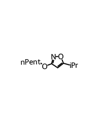 CCCCCOc1cc(C(C)C)on1